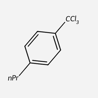 [CH2]CCc1ccc(C(Cl)(Cl)Cl)cc1